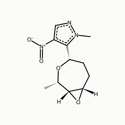 C[C@@H]1O[C@H](c2c([N+](=O)[O-])cnn2C)CC[C@@H]2O[C@H]12